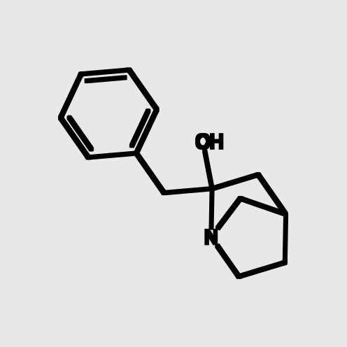 OC1(Cc2ccccc2)CC2CCN1C2